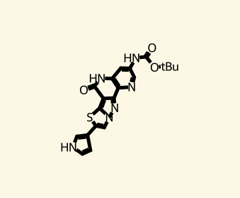 CC(C)(C)OC(=O)Nc1cnc2c(c1)[nH]c(=O)c1c2nn2cc(-c3cc[nH]c3)sc12